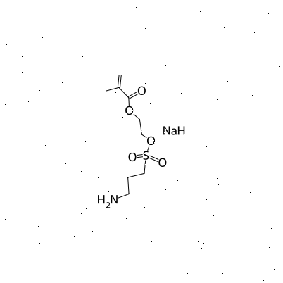 C=C(C)C(=O)OCCOS(=O)(=O)CCCN.[NaH]